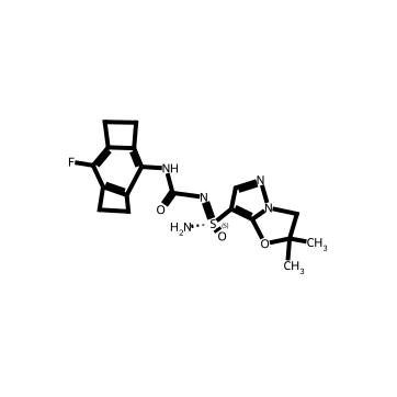 CC1(C)Cn2ncc([S@@](N)(=O)=NC(=O)Nc3c4c(c(F)c5c3CC5)CC4)c2O1